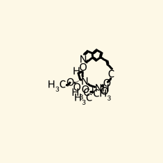 CCOC(=O)[C@@H]1C[C@@H]2CN1C(=O)[C@H](C(C)(C)C)NC(=O)OCCC/C=C/c1ccc3ccnc(c3c1)O2